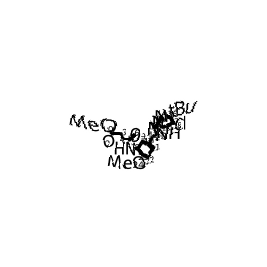 COC(=O)CCC(=O)Nc1cc(-c2nn3nc(C(C)(C)C)c(Cl)c3[nH]2)ccc1OC